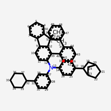 CC1(C)c2ccccc2-c2ccc(N(c3ccc(C4CC5CCC4C5)cc3)c3cccc(C4CCCCC4)c3)c(-c3ccccc3-c3ccccc3)c21